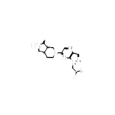 O=C1NCC2CCN(c3cnc4cnn(CC(F)F)c4n3)CC12